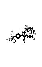 BC(B)(B)C(C)n1nc(-c2ccc(C(C)C(=O)O)cc2)c(C#N)c1N